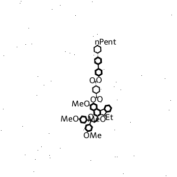 CCCCC[C@H]1CC[C@H](c2ccc(-c3ccc(OC(=O)[C@H]4CC[C@H](C(=O)Oc5cc6c7c(c8c(c6cc5OC)OC(c5ccc(OC)cc5)(c5ccc(OC)cc5)C=C8)C(CC)(OC)c5ccccc5-7)CC4)cc3)cc2)CC1